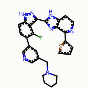 Fc1c(-c2cncc(CN3CCCCC3)c2)ccc2[nH]nc(-c3nc4c(-c5cccs5)nccc4[nH]3)c12